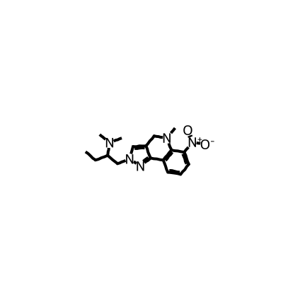 CCC(Cn1cc2c(n1)-c1cccc([N+](=O)[O-])c1N(C)C2)N(C)C